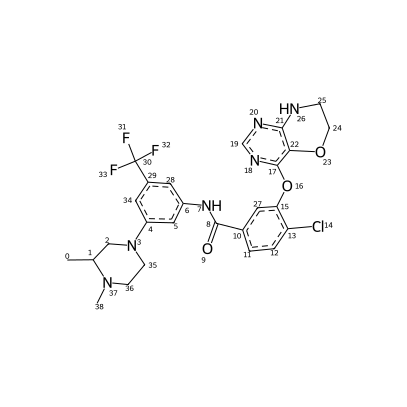 CC1CN(c2cc(NC(=O)c3ccc(Cl)c(Oc4ncnc5c4OCCN5)c3)cc(C(F)(F)F)c2)CCN1C